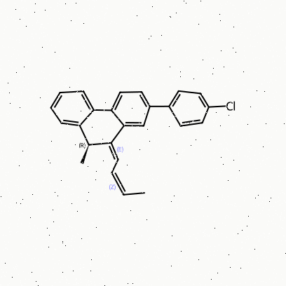 C/C=C\C=C1\c2cc(-c3ccc(Cl)cc3)ccc2-c2ccccc2[C@@H]1C